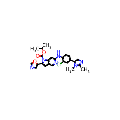 Cc1ncc(-c2ccc(Nc3cc4c(cn3)cc(-c3cnco3)n4C(=O)OC(C)C)c(Cl)c2)n1C